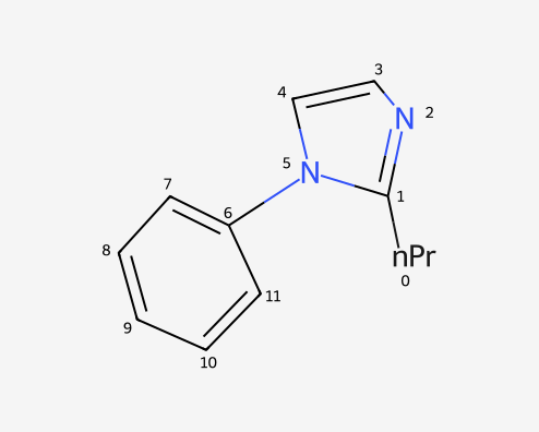 CCCc1nccn1-c1ccccc1